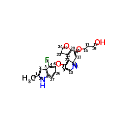 Cc1cc2c(F)c(Oc3ccnc4cc(OCCCO)c5c(c34)CCO5)ccc2[nH]1